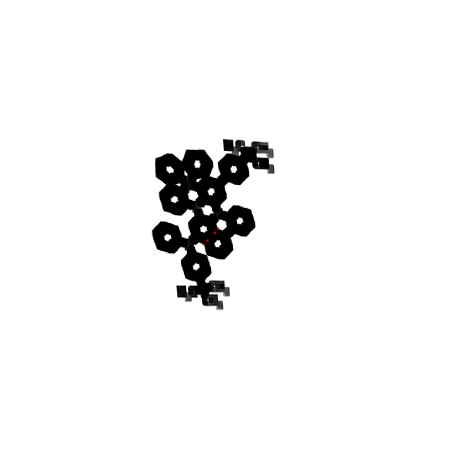 CC(C)(C)c1ccc(-c2cc3c4c(c2)[Si](c2ccccc2)(c2ccccc2)c2ccccc2B4c2cc(N(c4ccccc4)c4ccc(C(C)(C)C)cc4)ccc2N3c2ccccc2-c2ccccc2)cc1